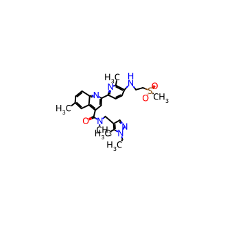 CCn1ncc(CN(C)C(=O)c2cc(-c3ccc(NCCS(C)(=O)=O)c(C)n3)nc3ccc(C)cc23)c1C